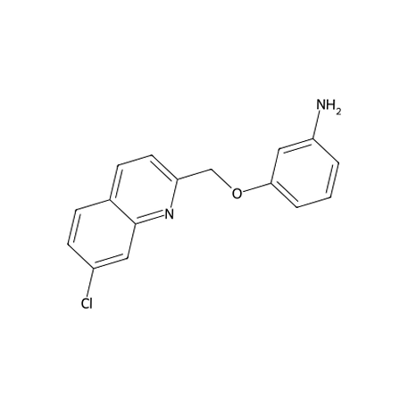 Nc1cccc(OCc2ccc3ccc(Cl)cc3n2)c1